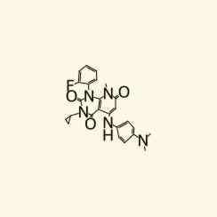 CN(C)c1ccc(Nc2cc(=O)n(C)c3c2c(=O)n(C2CC2)c(=O)n3-c2ccccc2F)cc1